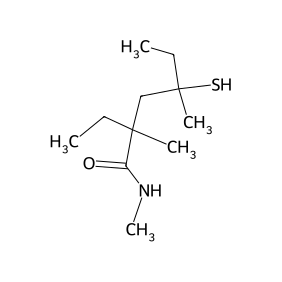 CCC(C)(S)CC(C)(CC)C(=O)NC